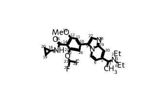 CCN(CC)C(C)c1ccn2c(-c3cc(OC)c(C(=O)NC4CC4)c(OC(F)F)c3)cnc2c1